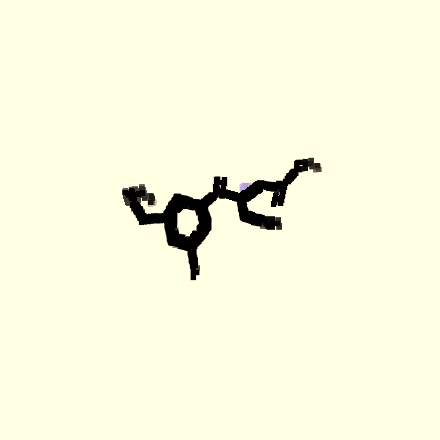 CN/C=C(\C=N)Nc1cc(F)cc(CN)c1